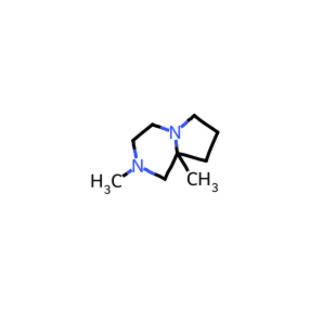 CN1CCN2CCCC2(C)C1